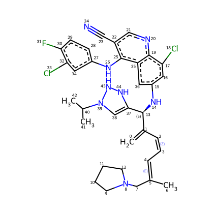 C=C(/C=C\C=C(/C)CN1CCCC1)[C@H](Nc1cc(Cl)c2ncc(C#N)c(Nc3ccc(F)c(Cl)c3)c2c1)C1=CN(C(C)C)NN1